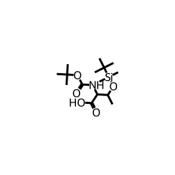 CC(O[Si](C)(C)C(C)(C)C)C(NC(=O)OC(C)(C)C)C(=O)O